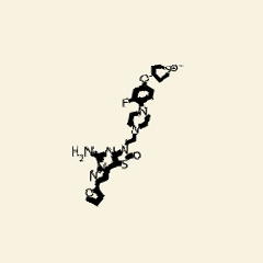 Nc1nc2c(sc(=O)n2CCN2CCN(c3ccc(O[C@H]4CC[S@@+]([O-])CC4)cc3F)CC2)c2cc(-c3ccco3)nn12